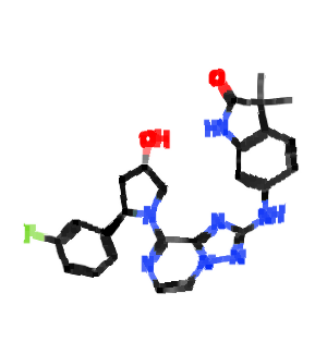 CC1(C)C(=O)Nc2cc(Nc3nc4c(N5C[C@@H](O)C[C@@H]5c5cccc(F)c5)nccn4n3)ccc21